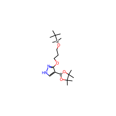 CC1(C)OB(c2c[nH]nc2OCCCO[Si](C)(C)C(C)(C)C)OC1(C)C